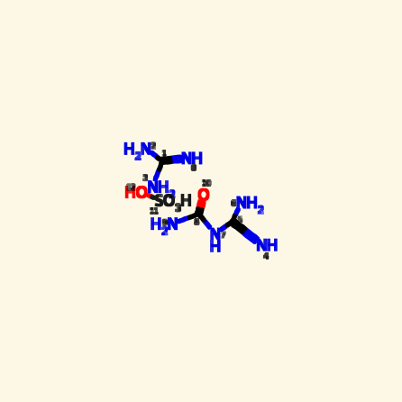 N=C(N)N.N=C(N)NC(N)=O.O=S(=O)(O)O